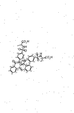 CC(NS(=O)(=O)c1ccc(NC(=O)c2ccccc2SSc2ccccc2C(=O)Nc2ccc(S(=O)(=O)NC(C)C(=O)O)cc2)cc1)C(=O)O